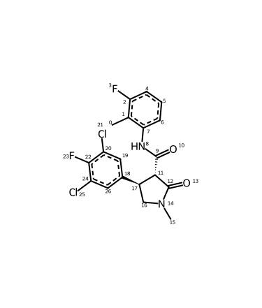 Cc1c(F)cccc1NC(=O)[C@@H]1C(=O)N(C)C[C@H]1c1cc(Cl)c(F)c(Cl)c1